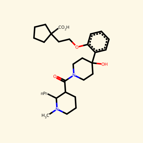 CCCC1C(C(=O)N2CCC(O)(c3ccccc3OCCC3(C(=O)O)CCCC3)CC2)CCCN1C